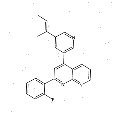 C/C=C(\C)c1cncc(-c2cc(-c3ccccc3F)nc3ncccc23)c1